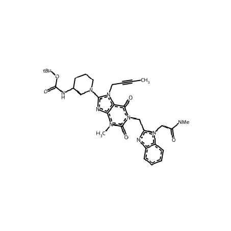 CC#CCn1c(N2CCCC(NC(=O)OC(C)(C)C)C2)nc2c1c(=O)n(Cc1nc3ccccc3n1CC(=O)NC)c(=O)n2C